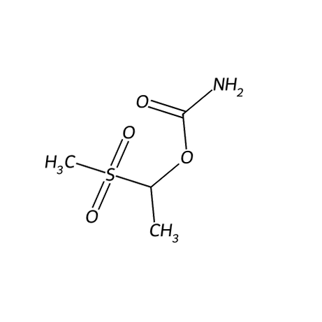 CC(OC(N)=O)S(C)(=O)=O